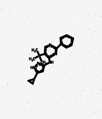 C[Si](C)(C)c1cnc(-c2ccccc2)nc1Nc1cc(C2CC2)[nH]n1